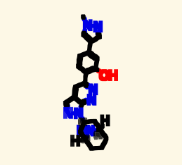 Cn1cc(-c2ccc(-c3cc4cnn([C@@H]5C[C@H]6CCC[C@@H](C5)N6)c4nn3)c(O)c2)cn1